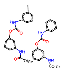 CCOC(=O)Nc1cccc(OC(=O)Nc2ccccc2)c1.COC(=O)Nc1cccc(OC(=O)Nc2cccc(C)c2)c1